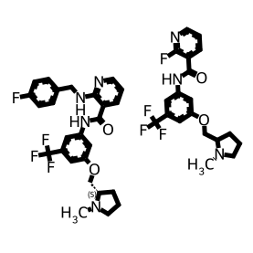 CN1CCCC1COc1cc(NC(=O)c2cccnc2F)cc(C(F)(F)F)c1.CN1CCC[C@H]1COc1cc(NC(=O)c2cccnc2NCc2ccc(F)cc2)cc(C(F)(F)F)c1